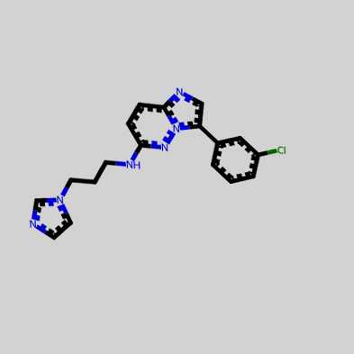 Clc1cccc(-c2cnc3ccc(NCCCn4ccnc4)nn23)c1